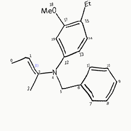 C/C=C(\C)N(Cc1ccccc1)c1ccc(CC)c(OC)c1